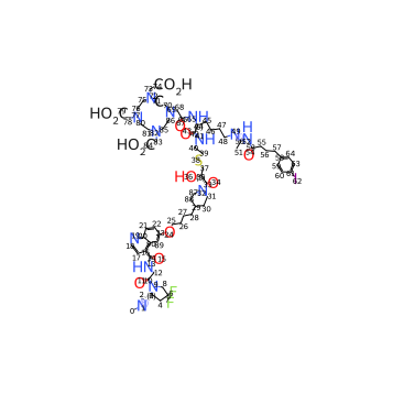 C/N=C/[C@H]1CC(F)(F)CN1C(=O)CNC(=O)c1ccnc2ccc(OCCCCC3CCN(C(=O)[C@H](O)CSCCNC(=O)[C@H](CCCC/N=C(\C)NC(=O)CCCc4ccc(I)cc4)NC(=O)CN4CCN(CC(=O)O)CCN(CC(=O)O)CCN(CC(=O)O)CC4)CC3)cc12